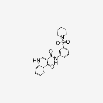 O=C(Nc1cccc(S(=O)(=O)N2CCCCC2)c1)c1c[nH]c2ccccc2c1=O